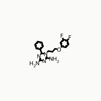 NC1=NC(c2ccccc2)N(CCCOc2ccc(F)c(F)c2)C(N)=N1